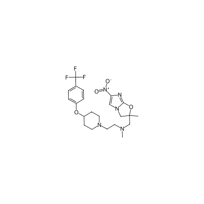 CN(CCN1CCC(Oc2ccc(C(F)(F)F)cc2)CC1)CC1(C)Cn2cc([N+](=O)[O-])nc2O1